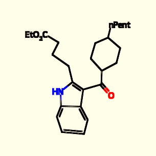 CCCCCC1CCC(C(=O)c2c(CCCC(=O)OCC)[nH]c3ccccc23)CC1